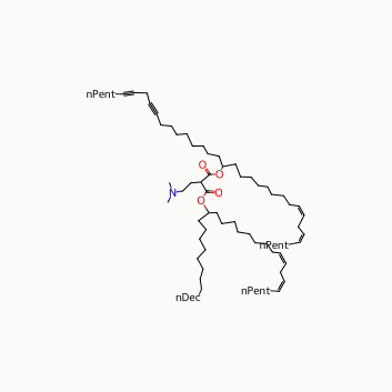 CCCCCC#CCC#CCCCCCCCCC(CCCCCCCC/C=C\C/C=C\CCCCC)OC(=O)C(CCN(C)C)C(=O)OC(CCCCCCCC/C=C\C/C=C\CCCCC)CCCCCCCCCCCCCCCCCC